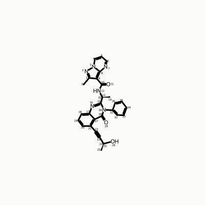 Cc1nn2cccnc2c1C(=O)N[C@@H](C)c1nc2cccc(C#C[C@H](C)O)c2c(=O)n1-c1ccccc1